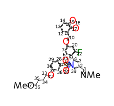 CNCc1cc(-c2ccc(OCc3cccc4c3OCO4)cc2F)n(S(=O)(=O)c2cccc(OCCCCOC)c2)c1